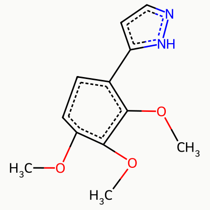 COc1ccc(-c2ccn[nH]2)c(OC)c1OC